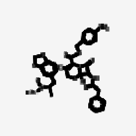 CCCCCCCC[S+]([O-])C(C)Cc1ccc2c(c1)OCO2.O=C(Cc1ccccc1)NC1C(=O)N2C(C(=O)OCc3ccc([N+](=O)[O-])cc3)=C(O)CS[C@H]12